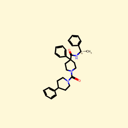 C[C@H](NC(=O)C1(c2ccccc2)CCN(C(=O)N2CCC(c3ccccc3)CC2)CC1)c1ccccc1